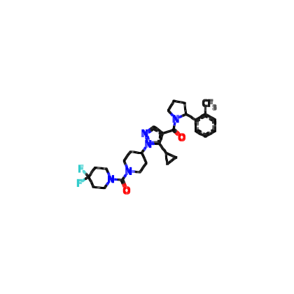 O=C(N1CCC(n2ncc(C(=O)N3CCCC3c3ccccc3C(F)(F)F)c2C2CC2)CC1)N1CCC(F)(F)CC1